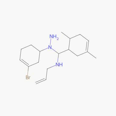 C=CCNC(C1CC(C)=CCC1C)N(N)C1CCC=C(Br)C1